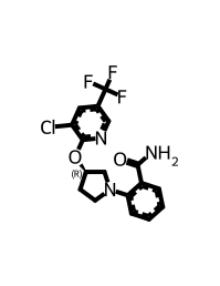 NC(=O)c1ccccc1N1CC[C@@H](Oc2ncc(C(F)(F)F)cc2Cl)C1